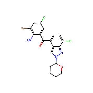 Nc1c(Br)cc(Cl)cc1C(=O)c1ccc(Cl)c2nn(C3CCCCO3)cc12